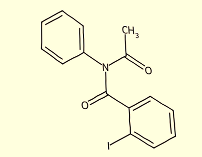 CC(=O)N(C(=O)c1ccccc1I)c1ccccc1